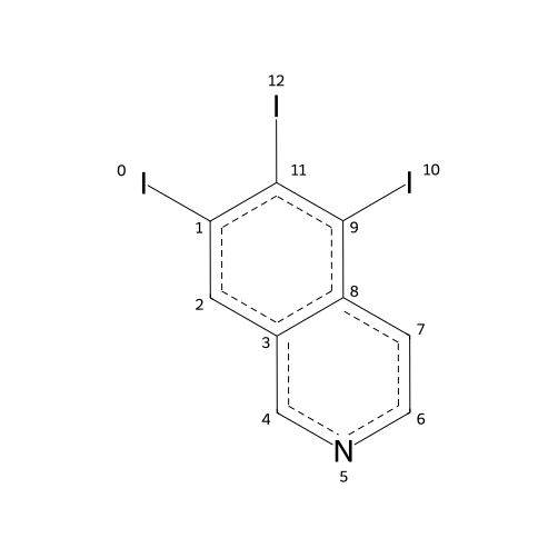 Ic1cc2cnccc2c(I)c1I